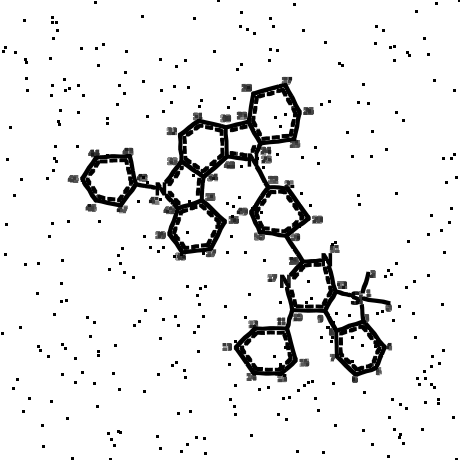 C[Si]1(C)c2ccccc2-c2c(-c3ccccc3)nc(-c3ccc(-n4c5ccccc5c5ccc6c(c7ccccc7n6-c6ccccc6)c54)cc3)nc21